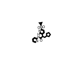 O=C(Nc1ccccn1)C(CC1CCCC1)c1ccc(S(=O)(=O)C2CC2)nc1